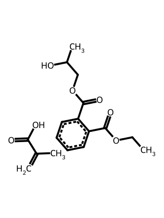 C=C(C)C(=O)O.CCOC(=O)c1ccccc1C(=O)OCC(C)O